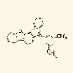 Cc1cc(C)cc(-n2c3ccccc3c3c4oc5ccccc5c4ccc32)c1